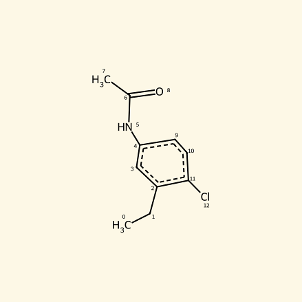 CCc1cc(NC(C)=O)ccc1Cl